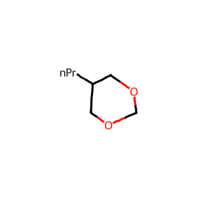 CCCC1COCOC1